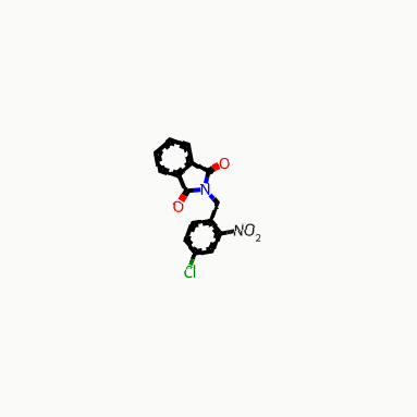 O=C1c2ccccc2C(=O)N1Cc1ccc(Cl)cc1[N+](=O)[O-]